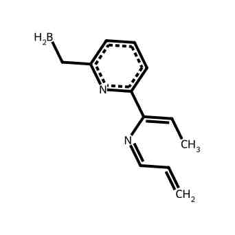 BCc1cccc(C(=C/C)/N=C\C=C)n1